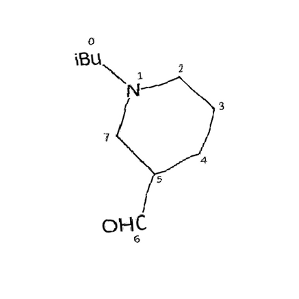 CCC(C)N1CCCC(C=O)C1